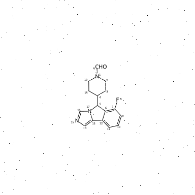 O=CN1CCC(C2c3c(F)cccc3-c3cncn32)CC1